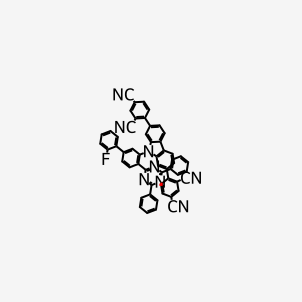 N#Cc1ccc(-c2ccc3c4ccc(-c5ccc(C#N)cc5C#N)cc4n(-c4cc(-c5ccccc5F)ccc4-c4nc(-c5ccccc5)nc(-c5ccccc5)n4)c3c2)c(C#N)c1